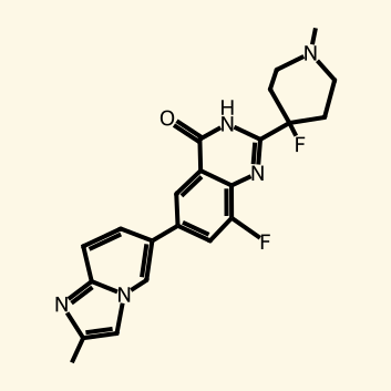 Cc1cn2cc(-c3cc(F)c4nc(C5(F)CCN(C)CC5)[nH]c(=O)c4c3)ccc2n1